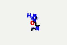 C/C=C\C=N/C(C)CCC(=O)N(C)/C=C\N